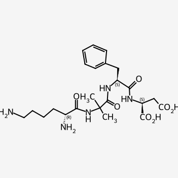 CC(C)(NC(=O)[C@H](N)CCCCN)C(=O)N[C@@H](Cc1ccccc1)C(=O)N[C@@H](CC(=O)O)C(=O)O